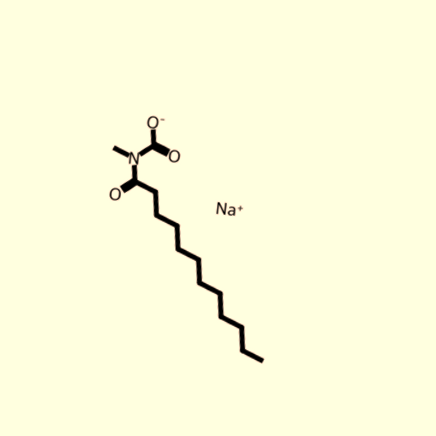 CCCCCCCCCCCC(=O)N(C)C(=O)[O-].[Na+]